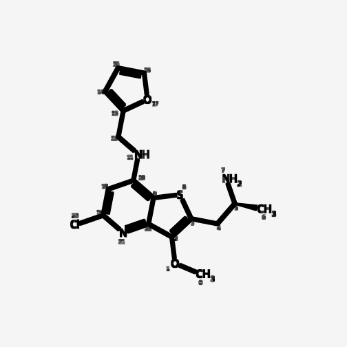 COc1c(C[C@H](C)N)sc2c(NCc3ccco3)cc(Cl)nc12